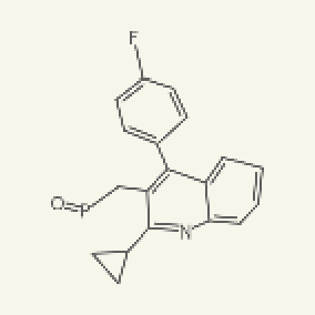 O=PCc1c(C2CC2)nc2ccccc2c1-c1ccc(F)cc1